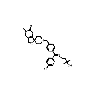 CN1CC2=C(CC1=O)C1(CCN(Cc3ccc(C(=NOCC(C)(C)O)c4ccc(Cl)cn4)cc3)CC1)OC2